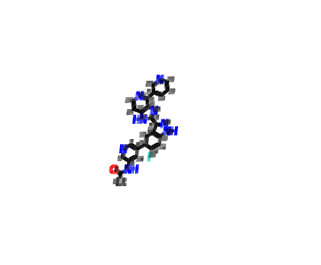 CCC(=O)Nc1cncc(-c2cc3c(-c4nc5c(-c6cccnc6)nccc5[nH]4)n[nH]c3cc2F)c1